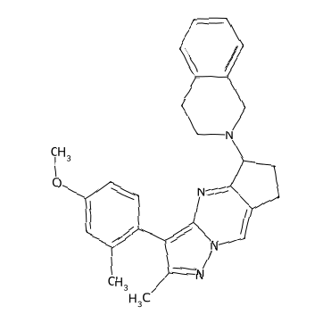 COc1ccc(-c2c(C)nn3cc4c(nc23)C(N2CCc3ccccc3C2)CC4)c(C)c1